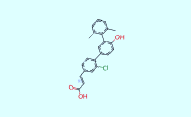 Cc1cccc(C)c1-c1cc(-c2ccc(/C=C/C(=O)O)cc2Cl)ccc1O